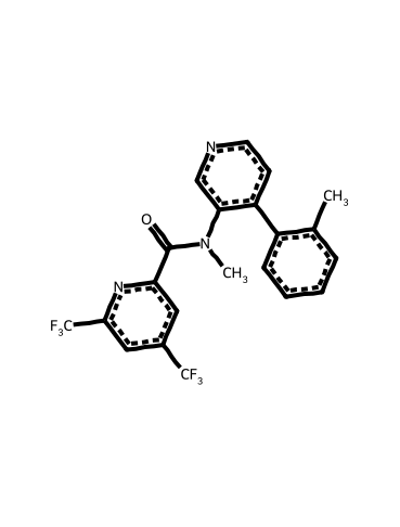 Cc1ccccc1-c1ccncc1N(C)C(=O)c1cc(C(F)(F)F)cc(C(F)(F)F)n1